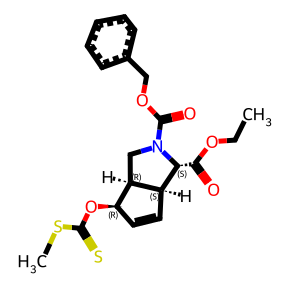 CCOC(=O)[C@@H]1[C@H]2C=C[C@@H](OC(=S)SC)[C@H]2CN1C(=O)OCc1ccccc1